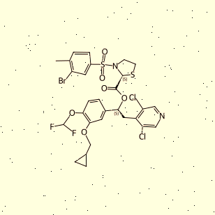 Cc1ccc(S(=O)(=O)N2CCS[C@H]2C(=O)O[C@@H](Cc2c(Cl)cncc2Cl)c2ccc(OC(F)F)c(OCC3CC3)c2)cc1Br